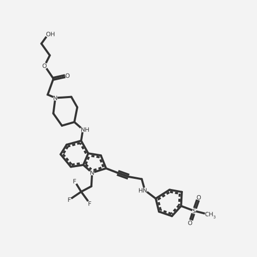 CS(=O)(=O)c1ccc(NCC#Cc2cc3c(NC4CCN(CC(=O)OCCO)CC4)cccc3n2CC(F)(F)F)cc1